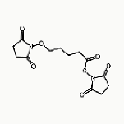 O=C(CCCCON1C(=O)CCC1=O)ON1C(=O)CCC1=O